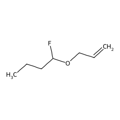 C=CCOC(F)CCC